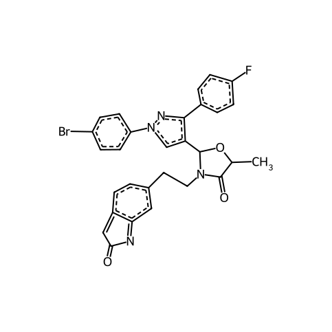 CC1OC(c2cn(-c3ccc(Br)cc3)nc2-c2ccc(F)cc2)N(CCc2ccc3c(c2)=NC(=O)C=3)C1=O